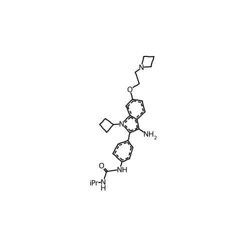 CC(C)NC(=O)Nc1ccc(-c2c(N)c3ccc(OCCN4CCC4)cc3n2C2CCC2)cc1